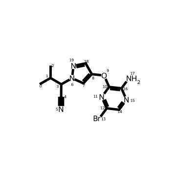 CC(C)C(C#N)n1cc(Oc2nc(Br)cnc2N)cn1